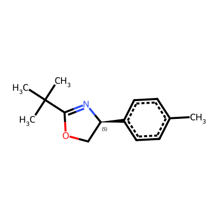 Cc1ccc([C@H]2COC(C(C)(C)C)=N2)cc1